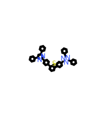 c1ccc(-c2cc(-c3ccccc3)nc(-c3ccc(-c4cccc5c4sc4cc(-c6nc(-c7ccccc7)nc(-c7ccccc7)n6)ccc45)cc3)n2)cc1